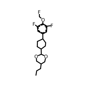 CCCC1COC(C2CCC(c3cc(F)c(OCF)c(F)c3)CC2)OC1